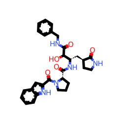 O=C(NCc1ccccc1)C(O)[C@H](C[C@@H]1CCNC1=O)NC(=O)[C@@H]1CCCN1C(=O)c1cc2ccccc2[nH]1